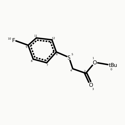 CC(C)(C)OC(=O)CSc1ccc(F)cc1